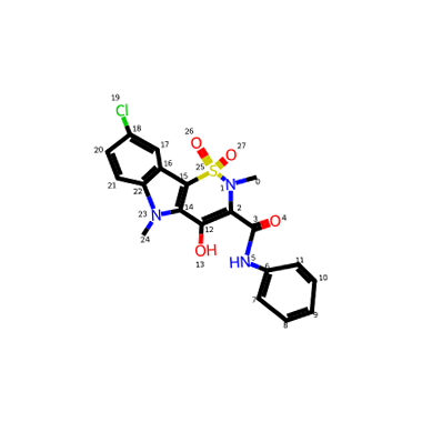 CN1C(C(=O)Nc2ccccc2)=C(O)c2c(c3cc(Cl)ccc3n2C)S1(=O)=O